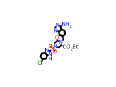 CCOC(=O)[C@@H]1CN(S(=O)(=O)c2nc3ccc(Cl)cc3[nH]2)CC(=O)N1Cc1ccc2c(N)ncnc2c1